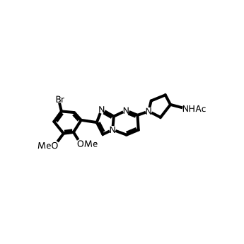 COc1cc(Br)cc(-c2cn3ccc(N4CCC(NC(C)=O)C4)nc3n2)c1OC